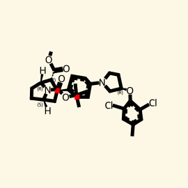 COC(=O)[C@@H]1[C@@H](c2ccc(N3CC[C@@H](Oc4c(Cl)cc(C)cc4Cl)C3)cc2)C[C@@H]2CC[C@H]1N2C(=O)OC(C)(C)C